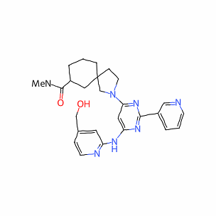 CNC(=O)C1CCCC2(CCN(c3cc(Nc4cc(CO)ccn4)nc(-c4cccnc4)n3)C2)C1